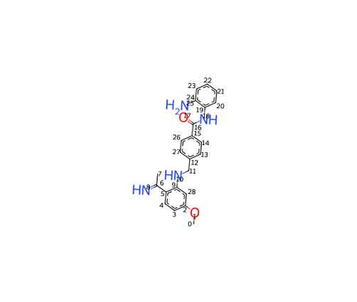 COc1ccc(C(C)=N)c(NCc2ccc(C(=O)Nc3ccccc3N)cc2)c1